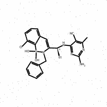 CC[C@H](Nc1nc(N)nc(C)c1C#N)C1=Cc2cccc(Cl)c2S(O)(O)N1Cc1ccccc1